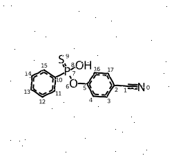 N#Cc1ccc(OP(O)(=S)c2ccccc2)cc1